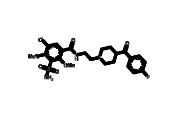 CNc1c(Cl)cc(C(=O)NCCN2CCC(C(=O)c3ccc(F)cc3)CC2)c(OC)c1S(N)(=O)=O